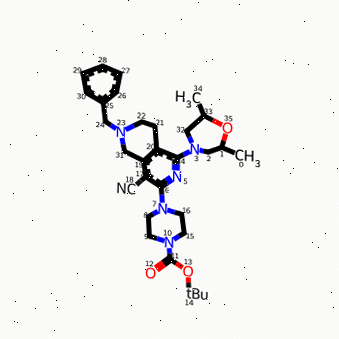 CC1CN(c2nc(N3CCN(C(=O)OC(C)(C)C)CC3)c(C#N)c3c2CCN(Cc2ccccc2)C3)CC(C)O1